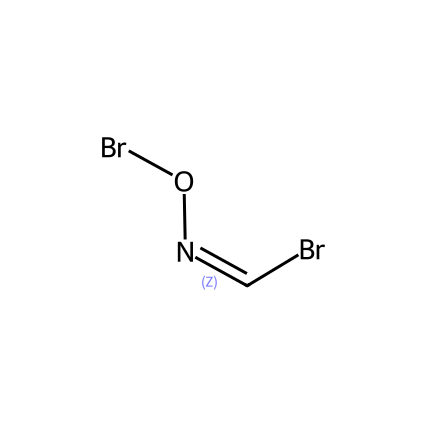 Br/C=N\OBr